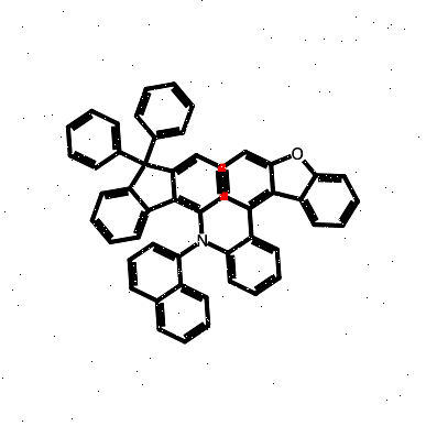 c1ccc(C2(c3ccccc3)c3ccccc3-c3c(N(c4ccccc4-c4cccc5oc6ccccc6c45)c4cccc5ccccc45)cccc32)cc1